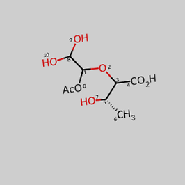 CC(=O)OC(OC(C(=O)O)[C@H](C)O)C(O)O